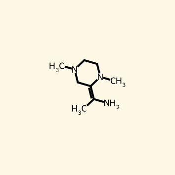 C/C(N)=C1\CN(C)CCN1C